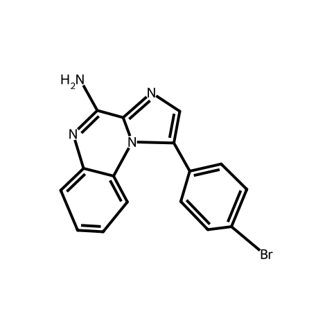 Nc1nc2ccccc2n2c(-c3ccc(Br)cc3)cnc12